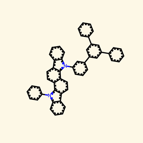 c1ccc(-c2cc(-c3ccccc3)cc(-c3cccc(-n4c5ccccc5c5ccc6c(ccc7c8ccccc8n(-c8ccccc8)c76)c54)c3)c2)cc1